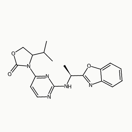 CC(C)C1COC(=O)N1c1ccnc(N[C@@H](C)c2nc3ccccc3o2)n1